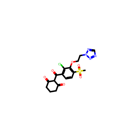 CS(=O)(=O)c1ccc(C(=O)C2C(=O)CCCC2=O)c(Cl)c1OCCn1ncnn1